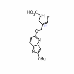 CCCCc1cn2nc(OC/C(=C/F)CNC(=O)O)ccc2n1